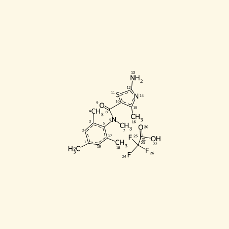 Cc1cc(C)c(N(C)C(=O)c2sc(N)nc2C)c(C)c1.O=C(O)C(F)(F)F